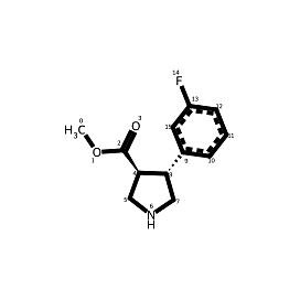 COC(=O)[C@@H]1CNC[C@H]1c1cccc(F)c1